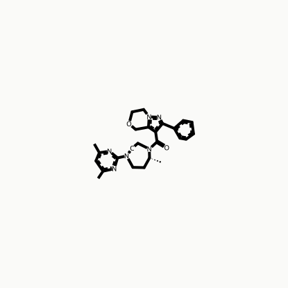 Cc1cc(C)nc(N2CC[C@@H](C)N(C(=O)c3c(-c4ccccc4)nn4c3COCC4)CC2)n1